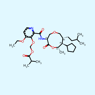 CCOc1ccnc(C(=O)N[C@H]2COC[C@H](CCC(C)C)[C@@H](C3CCCC3)[C@H](C)OC2=O)c1OCOC(=O)C(C)C